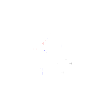 CC(C)(C)[Si](C)(C)OC1CNCCC1N(C(=O)O)c1ccncc1[N+](=O)[O-]